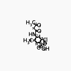 CC(=O)CC(=O)Nc1cc(Cl)c(S(=O)(=O)O)cc1C